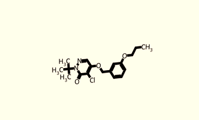 CCCOc1cccc(COc2cnn(C(C)(C)C)c(=O)c2Cl)c1